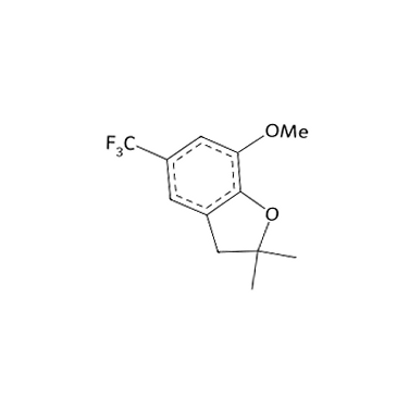 COc1cc(C(F)(F)F)cc2c1OC(C)(C)C2